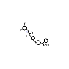 O=C(/C=C/c1cc(F)cc(F)c1)NC1CCC(CN2CCC(c3c[nH]c4ccccc34)CC2)C1